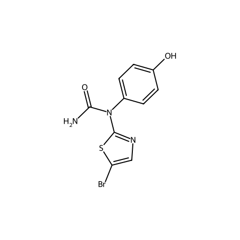 NC(=O)N(c1ccc(O)cc1)c1ncc(Br)s1